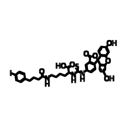 O=C(CCCc1ccc(I)cc1)NCCCCC(NC(=S)Nc1ccc2c(c1)C(=O)OC21c2ccc(O)cc2Oc2cc(O)ccc21)C(=O)O